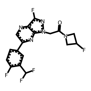 O=C(Cn1nc(F)c2ncc(-c3ccc(F)c(C(F)F)c3)nc21)N1CC(F)C1